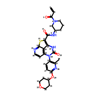 C=CC(=O)N1CCCC(NC(=O)c2sc3nccc4c3c2NC(=O)N4c2ccc(OC3CCOCC3)nc2C)C1